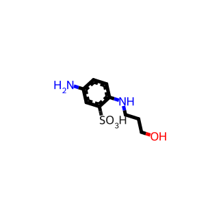 Nc1ccc(NCCCO)c(S(=O)(=O)O)c1